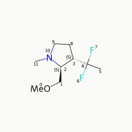 COC[C@@H]1[C@@H](C(C)(F)F)CCN1C